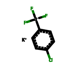 F[B-](F)(F)c1ccc(Cl)cc1.[K+]